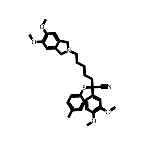 COc1ccc(C(C#N)(CCCCCN2Cc3cc(OC)c(OC)cc3C2)Sc2ccc(C)cc2)cc1OC